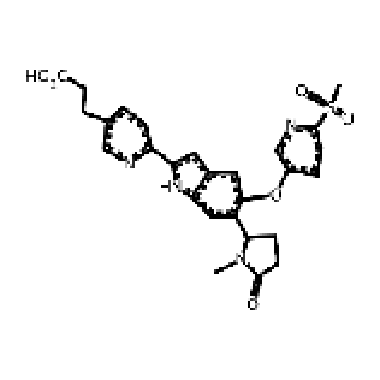 CN1C(=O)CCC1c1cc2[nH]c(-c3ccc(CCC(=O)O)cn3)cc2cc1Oc1ccc(S(C)(=O)=O)nc1